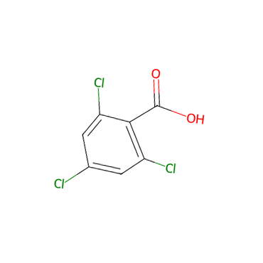 O=C(O)c1c(Cl)cc(Cl)cc1Cl